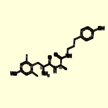 Cc1cc(O)cc(C)c1C[C@H](N)C(=O)N[C@H](C)C(=O)NCCCc1ccc(O)cc1